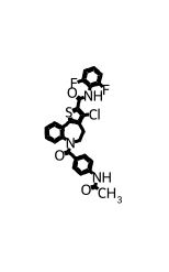 CC(=O)Nc1ccc(C(=O)N2CCc3c(sc(C(=O)Nc4c(F)cccc4F)c3Cl)-c3ccccc32)cc1